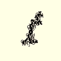 C=C(C)[C@H](NC(=O)OC(C)(C)C)C(=O)N[C@@H](CCCNC(N)=O)C(=O)Nc1ccc(S(=O)(=O)NC(=O)[C@H](C)[C@@H](OC)[C@@H]2CCCN2C(=O)C[C@@H](OC)[C@H]([C@@H](C)CC)N(C)C(=O)[C@@H](NC(=O)[C@H](C(C)C)N(C)C)C(C)C)cc1